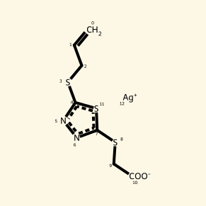 C=CCSc1nnc(SCC(=O)[O-])s1.[Ag+]